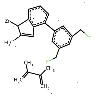 C=C(C)C(=C)C.CC1=Cc2c(-c3cc(CF)cc(CF)c3)cccc2[CH]1[Zr]